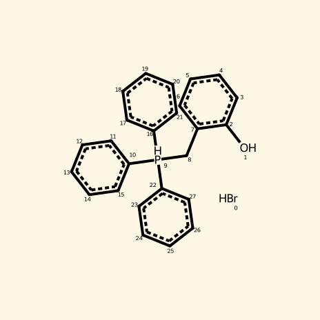 Br.Oc1ccccc1C[PH](c1ccccc1)(c1ccccc1)c1ccccc1